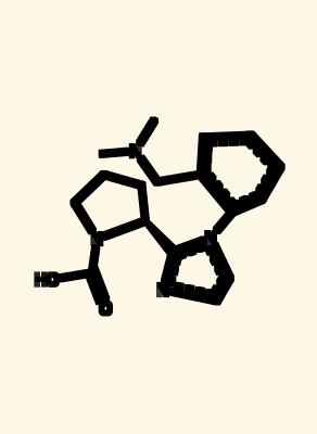 CN(C)Cc1ccccc1-n1ccnc1[C@@H]1CCCN1C(=O)O